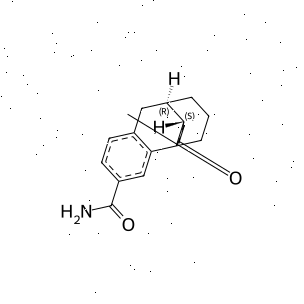 NC(=O)c1ccc2c(c1)C13CCC[C@H](C2)[C@@H]1CCC(=O)C3